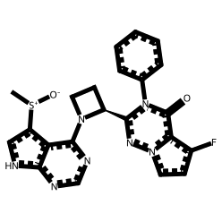 C[S+]([O-])c1c[nH]c2ncnc(N3CC[C@H]3c3nn4ccc(F)c4c(=O)n3-c3ccccc3)c12